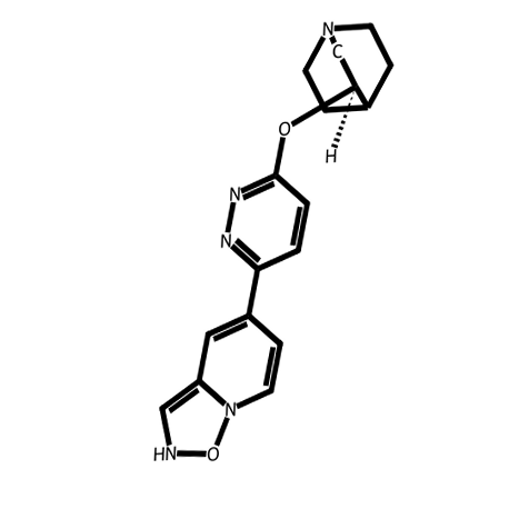 C1=CN2ONC=C2C=C1c1ccc(O[C@H]2CN3CCC2CC3)nn1